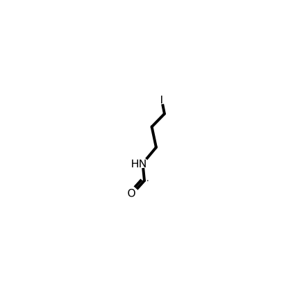 O=[C]NCCCI